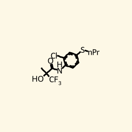 CCCSc1ccc(NC(=O)C(C)(O)C(F)(F)F)c(Cl)c1